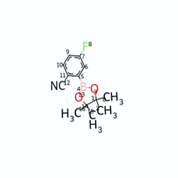 CC1(C)OB(c2cc(F)ccc2C#N)OC1(C)C